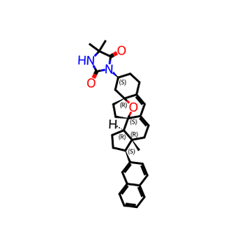 CC1(C)NC(=O)N([C@H]2CCC3=CC4=CC[C@]5(C)[C@@H](c6ccc7ccccc7c6)CC[C@H]5[C@@]45CC[C@]3(C2)O5)C1=O